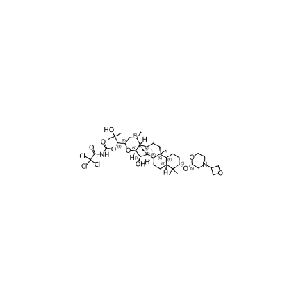 C[C@@H]1C[C@H]([C@H](OC(=O)NC(=O)C(Cl)(Cl)Cl)C(C)(C)O)O[C@H]2[C@H]1[C@@]1(C)CC[C@@]34C[C@@]35CC[C@H](O[C@H]3CN(C6COC6)CCO3)C(C)(C)[C@@H]5CC[C@H]4[C@]1(C)[C@H]2O